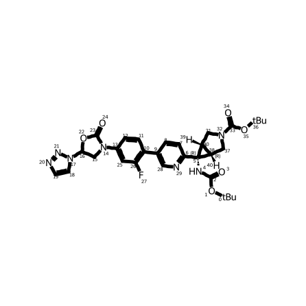 CC(C)(C)OC(=O)N[C@]1(c2ccc(-c3ccc(N4CC(n5ccnn5)OC4=O)cc3F)cn2)[C@@H]2CN(C(=O)OC(C)(C)C)C[C@@H]21